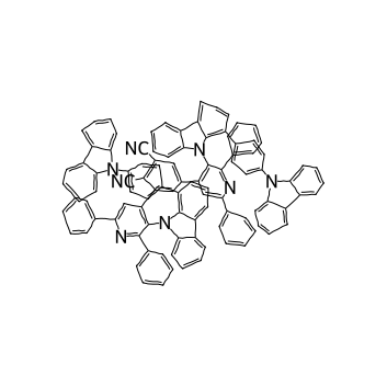 N#Cc1cc(-c2cc(-c3ccccc3)nc(-c3ccccc3)c2-n2c3ccccc3c3cccc(-c4ccc(-n5c6ccccc6c6ccccc65)cc4)c32)cc(-c2cc(-c3ccccc3)nc(-c3ccccc3)c2-n2c3ccccc3c3cccc(-c4ccc(-n5c6ccccc6c6ccccc65)cc4)c32)c1C#N